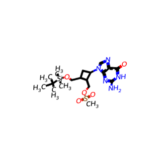 CC(C)(C)[Si](C)(C)OCC1CC(n2cnc3c(=O)[nH]c(N)nc32)C1COS(C)(=O)=O